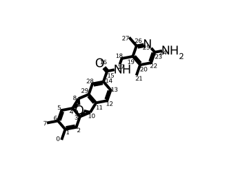 Cc1cc2c(cc1C)c1oc2c2ccc(C(=O)NCc3c(C)cc(N)nc3C)cc21